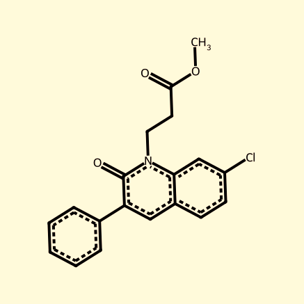 COC(=O)CCn1c(=O)c(-c2ccccc2)cc2ccc(Cl)cc21